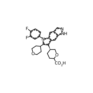 O=C(O)C1CC[C@@H](c2c(C3CCOCC3)n(-c3ccc(F)c(F)c3)c3cc4cn[nH]c4cc23)CO1